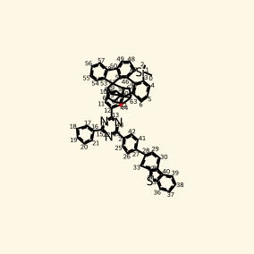 C[Si]1(C)c2cccc(-c3cccc(-c4nc(-c5ccccc5)nc(-c5ccc(-c6ccc7c(c6)sc6ccccc67)cc5)n4)c3)c2-c2c1ccc1c2C2(c3ccccc3-1)C1CC3CC(C1)CC2C3